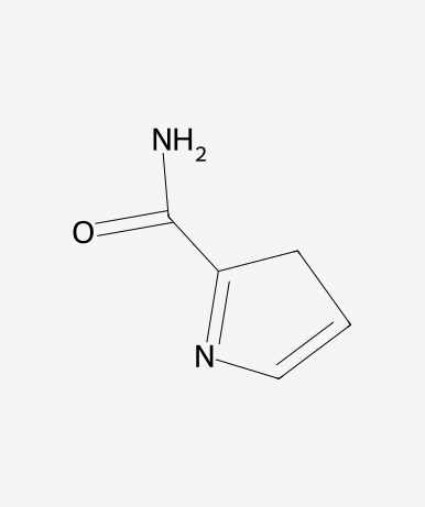 NC(=O)C1=NC=CC1